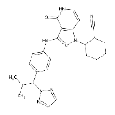 CC(C)C(c1ccc(Nc2nn(C3CCCCC3C#N)c3cc[nH]c(=O)c23)cc1)n1nccn1